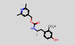 Cc1cc(COC(=O)N[C@@H](C)Cc2ccc(O)cc2C(=O)O)cc(C)n1